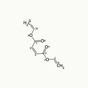 C=COC(=O)/C=C\C(=O)OC=C